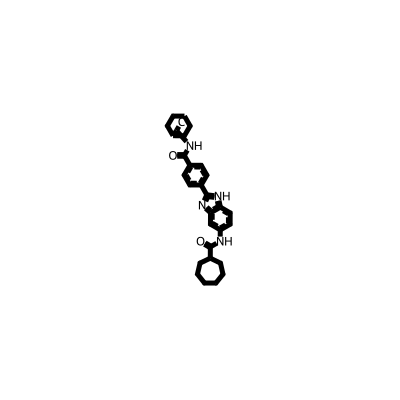 O=C(NC1CC2CCC1CC2)c1ccc(-c2nc3cc(NC(=O)C4CCCCCC4)ccc3[nH]2)cc1